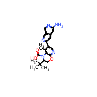 Cc1c(-c2cc3cc(N)ncc3cn2)cnc2c1N(C(=O)O)C(C(C)(C)C)CO2